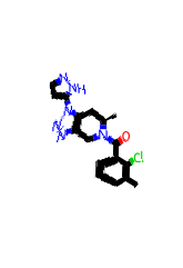 Cc1cccc(C(=O)N2Cc3nnn(-c4ccn[nH]4)c3C[C@H]2C)c1Cl